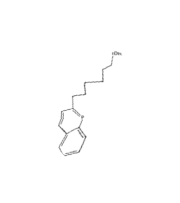 CCCCCCCCCCCCCCCCc1ccc2ccccc2p1